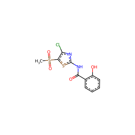 CS(=O)(=O)c1sc(NC(=O)c2ccccc2O)nc1Cl